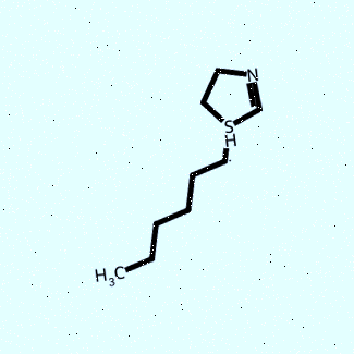 CCCCC[CH][SH]1C=NCC1